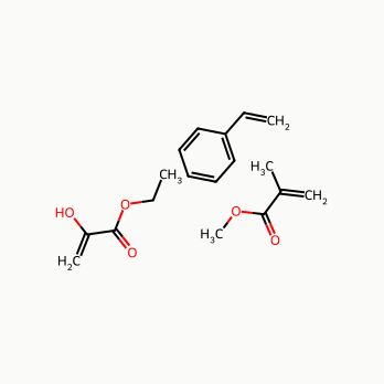 C=C(C)C(=O)OC.C=C(O)C(=O)OCC.C=Cc1ccccc1